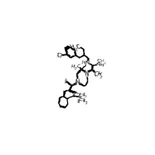 C/C=C(\C=C1\C=CC=CCC1CC)C(I)N1CCN(C(C)C(NC)NCC(CC)Cc2cc#cc(Cl)c2)C(C)(I)C1